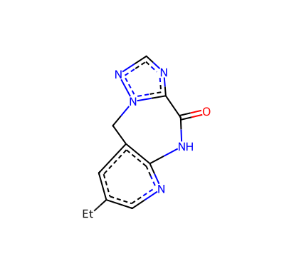 CCc1cnc2c(c1)Cn1ncnc1C(=O)N2